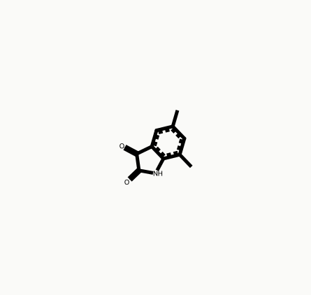 Cc1cc(C)c2c(c1)C(=O)C(=O)N2